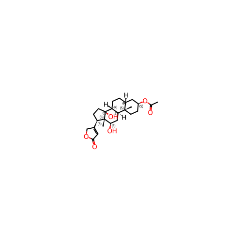 CC(=O)O[C@H]1CC[C@@]2(C)[C@H](CC[C@@H]3[C@@H]2C[C@@H](O)[C@]2(C)[C@@H](C4=CC(=O)OC4)CC[C@]32O)C1